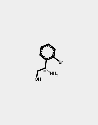 N[C@H](CO)c1ccccc1Br